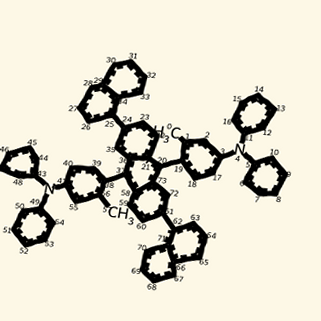 Cc1cc(N(c2ccccc2)c2ccccc2)ccc1-c1c2ccc(-c3cccc4ccccc34)cc2c(-c2ccc(N(c3ccccc3)c3ccccc3)cc2C)c2ccc(-c3cccc4ccccc34)cc12